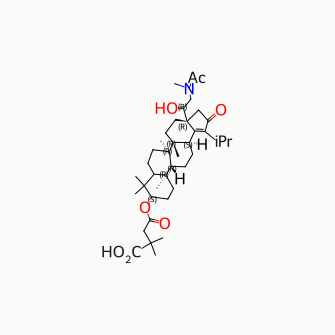 CC(=O)N(C)C[C@H](O)[C@@]12CC[C@]3(C)[C@H](CC[C@@H]4[C@@]5(C)CC[C@H](OC(=O)CC(C)(C)C(=O)O)C(C)(C)C5CC[C@]43C)C1=C(C(C)C)C(=O)C2